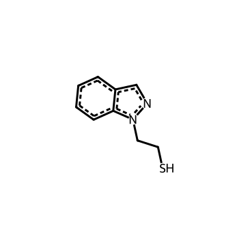 SCCn1ncc2ccccc21